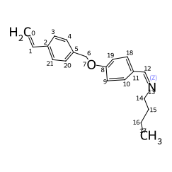 C=Cc1ccc(COc2ccc(/C=N\CCCC)cc2)cc1